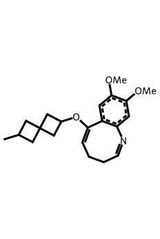 COc1cc2c(cc1OC)/C(OC1CC3(CC(C)C3)C1)=C\CC/C=N\2